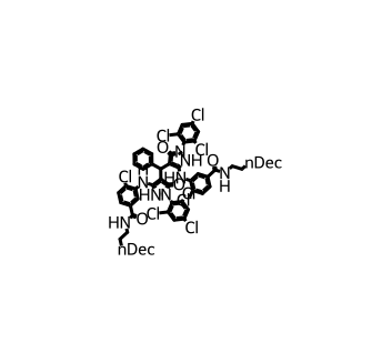 CCCCCCCCCCCCNC(=O)c1ccc(Cl)c(Nc2[nH]n(-c3c(Cl)cc(Cl)cc3Cl)c(=O)c2C(c2ccccc2)c2c(Nc3cc(C(=O)NCCCCCCCCCCCC)ccc3Cl)[nH]n(-c3c(Cl)cc(Cl)cc3Cl)c2=O)c1